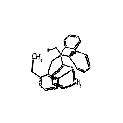 CCc1cccc(CC)c1CP(CI)(c1ccccc1)(c1ccccc1)c1ccccc1